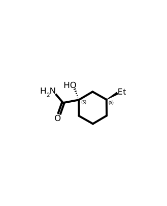 CC[C@H]1CCC[C@@](O)(C(N)=O)C1